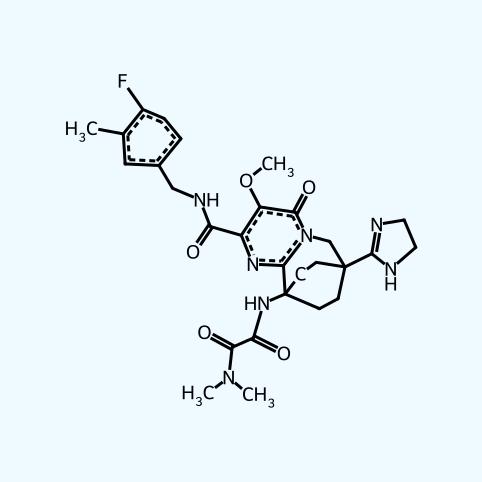 COc1c(C(=O)NCc2ccc(F)c(C)c2)nc2n(c1=O)CC1(C3=NCCN3)CCC2(NC(=O)C(=O)N(C)C)CC1